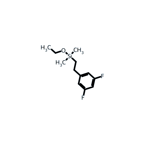 CCO[Si](C)(C)CCc1cc(F)cc(F)c1